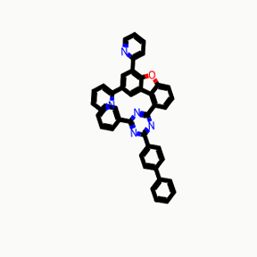 c1ccc(-c2ccc(-c3nc(-c4ccccc4)nc(-c4cccc5oc6c(-c7ccccn7)cc(-c7ccccn7)cc6c45)n3)cc2)cc1